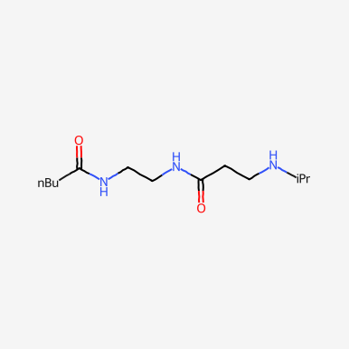 CCCCC(=O)NCCNC(=O)CCNC(C)C